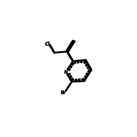 C=C(CCl)c1cccc(Br)n1